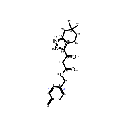 C=C/C=C\C(=C/C)COC(=O)CC(=O)c1n[nH]c2c1CCC(C)(C)C2